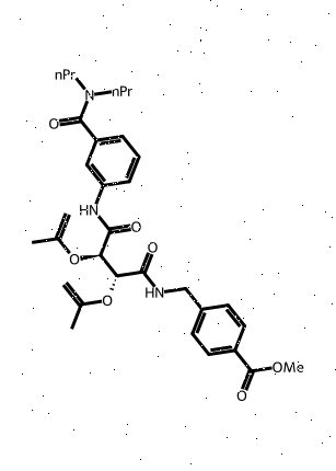 C=C(C)O[C@@H](C(=O)NCc1ccc(C(=O)OC)cc1)[C@@H](OC(=C)C)C(=O)Nc1cccc(C(=O)N(CCC)CCC)c1